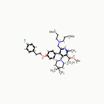 COCCN(CCOC)Cc1nc(C)c(C(OC(C)(C)C)C(=O)O)c(N2CCC(C)(C)CC2)c1-c1ccc(OCCc2ccc(F)cc2)cc1